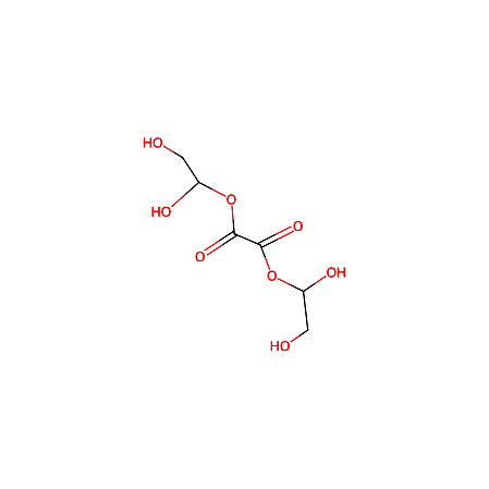 O=C(OC(O)CO)C(=O)OC(O)CO